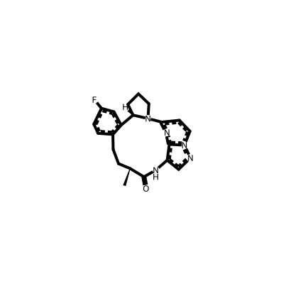 C[C@H]1CCc2ccc(F)cc2[C@@H]2CCCN2c2ccn3ncc(c3n2)NC1=O